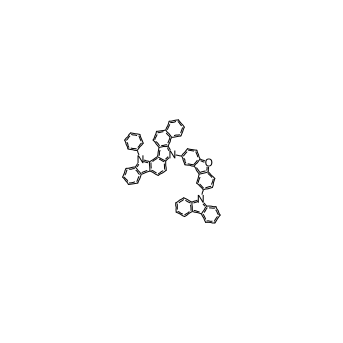 c1ccc(-n2c3ccccc3c3ccc4c(c5ccc6ccccc6c5n4-c4ccc5oc6ccc(-n7c8ccccc8c8ccccc87)cc6c5c4)c32)cc1